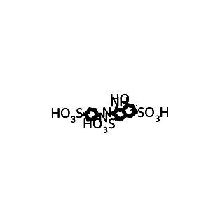 Nc1c(N=Nc2ccc(S(=O)(=O)O)cc2)c(S(=O)(=O)O)cc2cc(S(=O)(=O)O)[c]c(O)c12